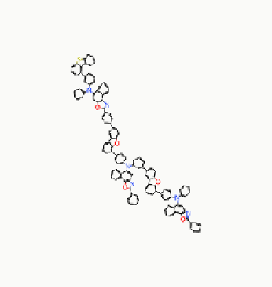 c1ccc(-c2nc3cc(N(c4ccccc4)c4ccc(-c5cccc6c5oc5ccc(-c7cccc(N(c8ccc(-c9cccc%10c9oc9ccc(-c%11ccc(-c%12nc%13c(cc(N(c%14ccccc%14)c%14cccc(-c%15cccc%16sc%17ccccc%17c%15%16)c%14)c%14ccccc%14%13)o%12)cc%11)cc9%10)cc8)c8cc9nc(-c%10ccccc%10)oc9c9ccccc89)c7)cc56)cc4)c4ccccc4c3o2)cc1